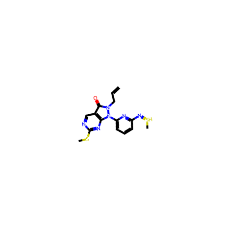 C=CCn1c(=O)c2cnc(SC)nc2n1-c1cccc(/N=[SH]\C)n1